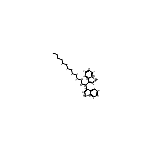 CCCCCCCCCCCCCC(c1c[nH]c2ccccc12)c1c[nH]c2ccccc12